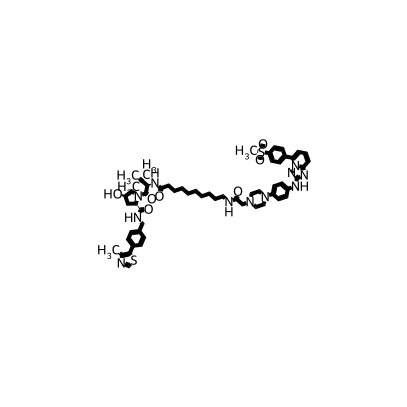 Cc1ncsc1-c1ccc(CNC(=O)[C@@H]2C[C@@H](O)CN2C(=O)[C@@H](NC(=O)CCCCCCCCCNC(=O)CN2CCN(c3ccc(Nc4nc5cccc(-c6ccc(S(C)(=O)=O)cc6)n5n4)cc3)CC2)C(C)(C)C)cc1